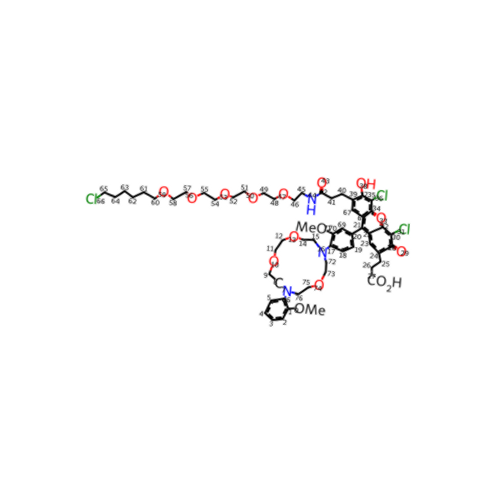 COc1ccccc1N1CCOCCOCCN(c2ccc(-c3c4cc(CCC(=O)O)c(=O)c(Cl)c-4oc4c(Cl)c(O)c(CCC(=O)NCCOCCOCCOCCOCCOCCCCCCCl)cc34)cc2OC)CCOCC1